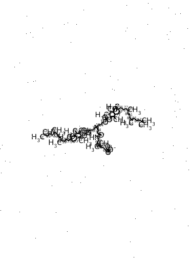 Cc1c(C)c2c(c(C)c1OC(=O)OCCCN(CCCOC(=O)Oc1c(C)c(C)c3c(c1C)CC[C@@](C)(CCC[C@H](C)CCC[C@H](C)CCCC(C)C)O3)CCC(=O)NCC[N+](C)(C)CCCS(=O)(=O)[O-])CC[C@@](C)(CCC[C@H](C)CCC[C@H](C)CCCC(C)C)O2